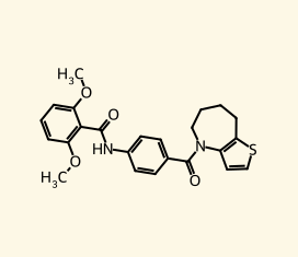 COc1cccc(OC)c1C(=O)Nc1ccc(C(=O)N2CCCCc3sccc32)cc1